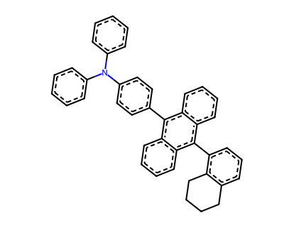 c1ccc(N(c2ccccc2)c2ccc(-c3c4ccccc4c(-c4cccc5c4CCCC5)c4ccccc34)cc2)cc1